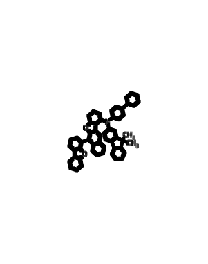 CC1(C)c2ccccc2-c2ccc(N(c3ccc(-c4ccccc4)cc3)c3cccc4oc5c(-c6cccc7c6oc6ccccc67)c6ccccc6cc5c34)cc21